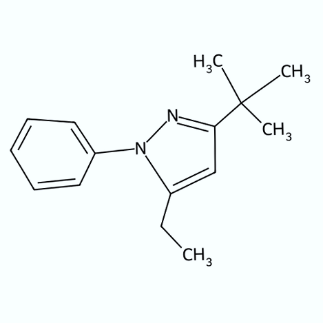 CCc1cc(C(C)(C)C)nn1-c1ccccc1